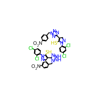 O=[N+]([O-])c1ccc(CN2NNN=C2c2cnn(-c3ccc(Cl)cc3Cl)c2S)cc1.O=[N+]([O-])c1ccc(Cn2nnc(-c3cnn(-c4ccc(Cl)cc4Cl)c3S)n2)cc1